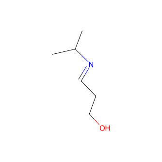 CC(C)N=CCCO